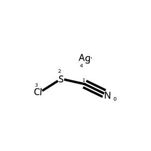 N#CSCl.[Ag]